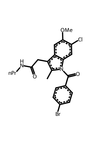 CCCNC(=O)Cc1c(C)n(C(=O)c2ccc(Br)cc2)c2cc(Cl)c(OC)cc12